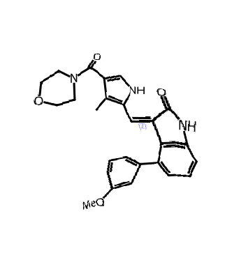 COc1cccc(-c2cccc3c2/C(=C/c2[nH]cc(C(=O)N4CCOCC4)c2C)C(=O)N3)c1